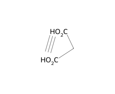 C#C.O=C(O)CC(=O)O